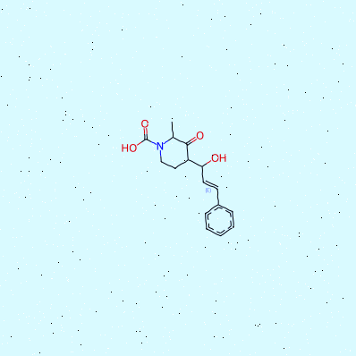 CC1C(=O)C(C(O)/C=C/c2ccccc2)CCN1C(=O)O